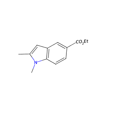 CCOC(=O)c1ccc2c(c1)cc(C)n2C